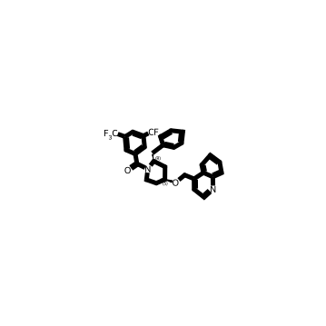 O=C(c1cc(C(F)(F)F)cc(C(F)(F)F)c1)N1CC[C@H](OCc2ccnc3ccccc23)C[C@H]1Cc1ccccc1